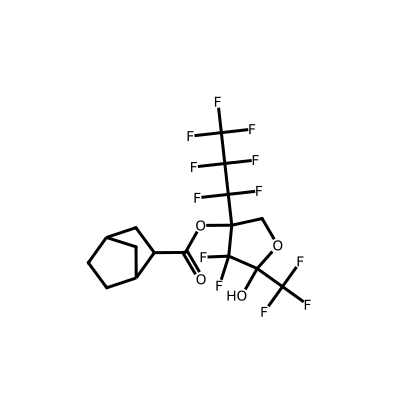 O=C(OC1(C(F)(F)C(F)(F)C(F)(F)F)COC(O)(C(F)(F)F)C1(F)F)C1CC2CCC1C2